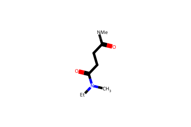 CCN(C)C(=O)CCC(=O)NC